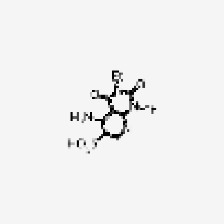 CCn1c(=O)c2c(N)c(S(=O)(=O)O)cnc2n(CC)c1=O